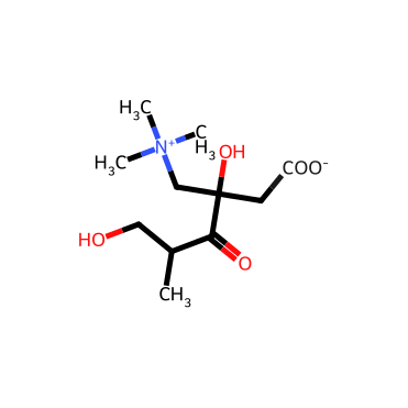 CC(CO)C(=O)C(O)(CC(=O)[O-])C[N+](C)(C)C